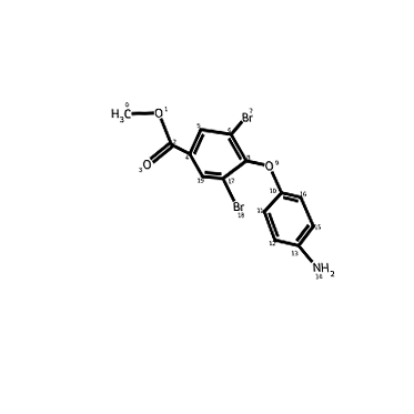 COC(=O)c1cc(Br)c(Oc2ccc(N)cc2)c(Br)c1